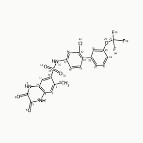 Cc1cc2[nH]c(=O)c(=O)[nH]c2cc1S(=O)(=O)Nc1ccc(-c2cccc(OC(F)(F)F)c2)c(Cl)c1